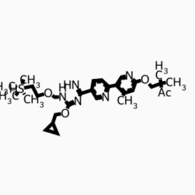 CC(=O)C(C)(C)COc1cc(C)c(-c2ccc(C(=N)/N=C(\NCOCC[SH](C)(C)(C)C)OCC3CC3)cn2)cn1